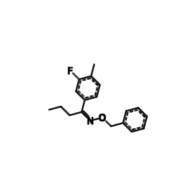 CCCC(=NOCc1ccccc1)c1ccc(C)c(F)c1